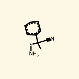 CC(C#N)(SN)c1ccccc1